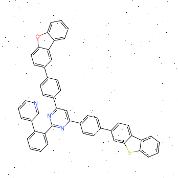 c1cncc(-c2ccccc2-c2nc(-c3ccc(-c4ccc5c(c4)sc4ccccc45)cc3)cc(-c3ccc(-c4ccc5oc6ccccc6c5c4)cc3)n2)c1